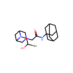 CC(C)(C)C(O)CN1C2CC1CN(CC(=O)NC13CC4CC(CC(C4)C1)C3)C2